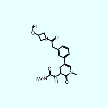 CNC(=O)NC1CC(c2cccc(CC(=O)N3CC(OC(C)C)C3)c2)=CN(C)C1=O